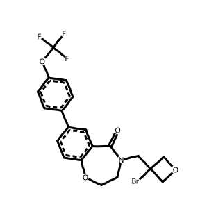 O=C1c2cc(-c3ccc(OC(F)(F)F)cc3)ccc2OCCN1CC1(Br)COC1